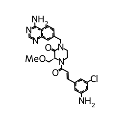 COC[C@H]1C(=O)N(Cc2ccc3c(N)ncnc3c2)CCN1C(=O)C=Cc1cc(N)cc(Cl)c1